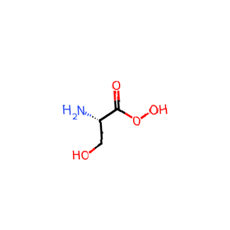 N[C@@H](CO)C(=O)OO